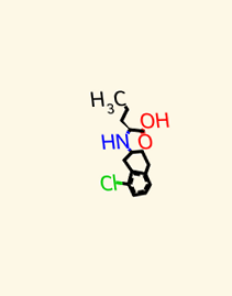 CCC[C@H](NC1CCc2cccc(Cl)c2C1)C(=O)O